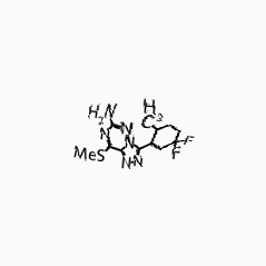 CSc1nc(N)nn2c(C3CC(F)(F)CCC3C)nnc12